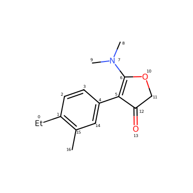 CCc1ccc(C2=C(N(C)C)OCC2=O)cc1C